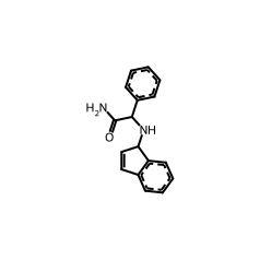 NC(=O)C(NC1C=Cc2ccccc21)c1ccccc1